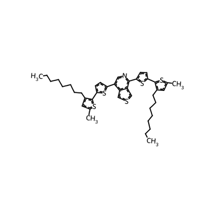 CCCCCCCCc1cc(C)sc1-c1ccc(-c2cnc(-c3ccc(-c4sc(C)cc4CCCCCCCC)s3)c3cscc23)s1